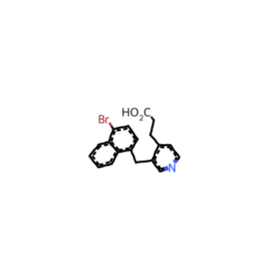 O=C(O)CCc1ccncc1Cc1ccc(Br)c2ccccc12